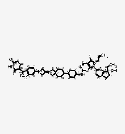 C=CCn1c(=O)c2cnc(Nc3ccc(C4CCC5(CC4)CN(C4CN(c6ccc7c(C8CCC(=O)NC8=O)noc7c6)C4)C5)cc3)nc2n1-c1ccc2c(n1)[C@@](O)(CC)CC2